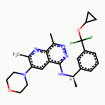 Cc1nnc(N[C@H](C)c2cccc(C(F)(F)OC3CC3)c2)c2cc(N3CCOCC3)c(C(F)(F)F)nc12